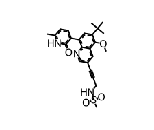 COc1c(C(C)(C)C)cc(-c2ccc(C)[nH]c2=O)c2ncc(C#CCNS(C)(=O)=O)cc12